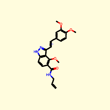 C=CCNC(=O)c1ccc2[nH]nc(/C=C/c3ccc(OC)c(OC)c3)c2c1OC